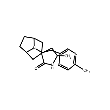 Cc1ccc(CCN2C3CCC2CC2(CC(C)NC2=O)C3)cn1